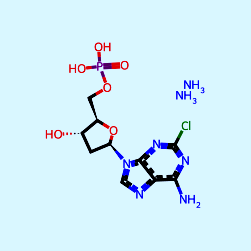 N.N.Nc1nc(Cl)nc2c1ncn2[C@H]1C[C@H](O)[C@@H](COP(=O)(O)O)O1